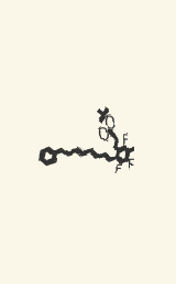 Cc1c(F)c(F)c(CCCCCCCCc2ccccc2)c(C=CC(=O)OC(C)(C)C)c1F